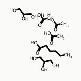 CC(=O)O.CC(=O)O.CC(=O)O.CCCCCC(=O)O.OCC(O)CO.OCC(O)CO